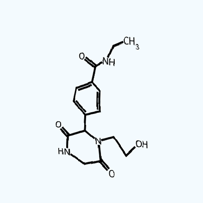 CCNC(=O)c1ccc(C2C(=O)NCC(=O)N2CCO)cc1